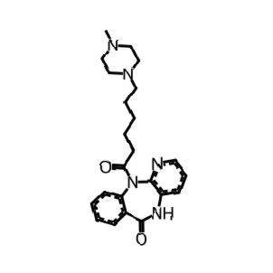 CN1CCN(CCCCCC(=O)N2c3ccccc3C(=O)Nc3cccnc32)CC1